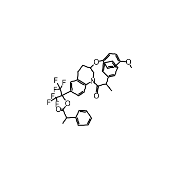 COc1ccc(OC2CCc3cc(C(OC(=O)C(C)c4ccccc4)(C(F)(F)F)C(F)(F)F)ccc3N(C(=O)C(C)c3ccccc3)C2)cc1